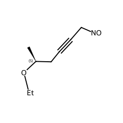 CCO[C@@H](C)CC#CCN=O